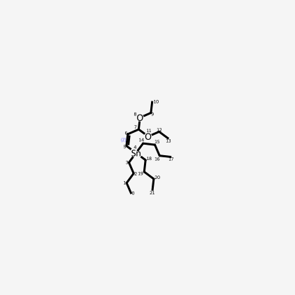 CCC[CH2][Sn](/[CH]=C\C(OCC)OCC)([CH2]CCC)[CH2]CCC